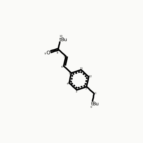 CC(C)(C)Cc1ccc(/C=C/C(=O)C(C)(C)C)cc1